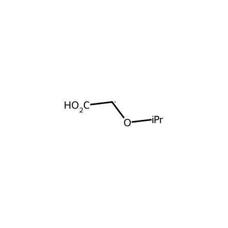 CC(C)O[CH]C(=O)O